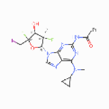 CC(C)C(=O)Nc1nc(N(C)C2CC2)c2ncn([C@@H]3O[C@](F)(CI)[C@@H](O)[C@@]3(C)F)c2n1